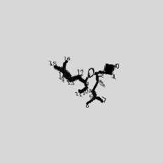 C=CC(CC=C(C)C)OC(C=C)CC=C(C)C